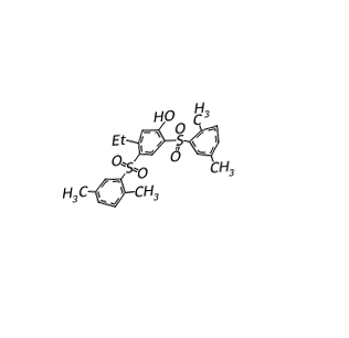 CCc1cc(O)c(S(=O)(=O)c2cc(C)ccc2C)cc1S(=O)(=O)c1cc(C)ccc1C